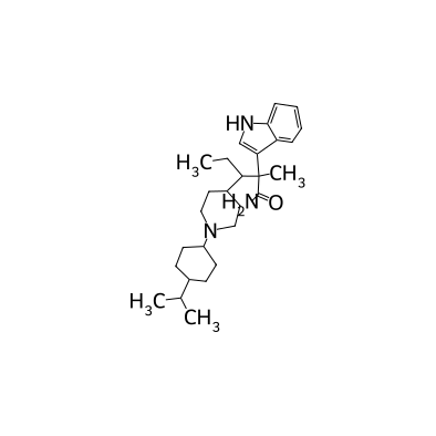 CCC(C1CCN(C2CCC(C(C)C)CC2)CC1)C(C)(C(N)=O)c1c[nH]c2ccccc12